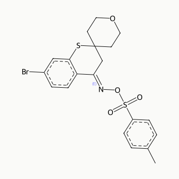 Cc1ccc(S(=O)(=O)O/N=C2\CC3(CCOCC3)Sc3cc(Br)ccc32)cc1